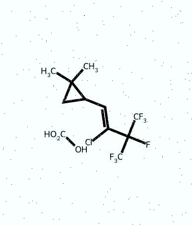 CC1(C)CC1C=C(Cl)C(F)(C(F)(F)F)C(F)(F)F.O=C(O)O